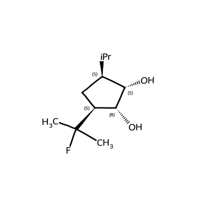 CC(C)[C@@H]1C[C@H](C(C)(C)F)[C@@H](O)[C@H]1O